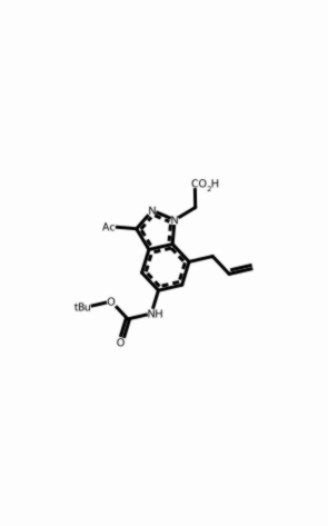 C=CCc1cc(NC(=O)OC(C)(C)C)cc2c(C(C)=O)nn(CC(=O)O)c12